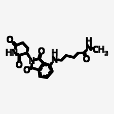 CNC(=O)CCCCNc1cccc2c1C(=O)N(C1CCC(=O)NC1=O)C2=O